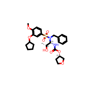 COc1ccc(S(=O)(=O)N(Cc2ccccc2)[C@H](NC(=O)O[C@H]2CCOC2)[C@@H](C)O)cc1OC1CCCC1